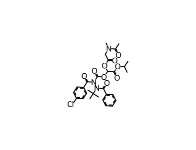 CC(=O)N(C)CC(=O)OC(OC(=O)N(C(=O)c1ccc(Cl)cc1)N(C(=O)c1ccccc1)C(C)(C)C)C(=O)OC(C)C